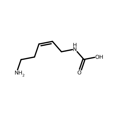 NCC/C=C\CNC(=O)O